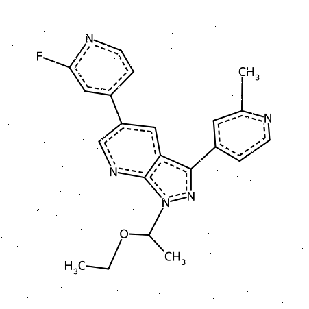 CCOC(C)n1nc(-c2ccnc(C)c2)c2cc(-c3ccnc(F)c3)cnc21